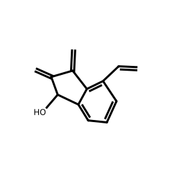 C=Cc1cccc2c1C(=C)C(=C)C2O